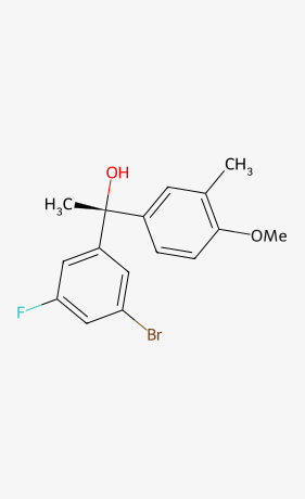 COc1ccc([C@@](C)(O)c2cc(F)cc(Br)c2)cc1C